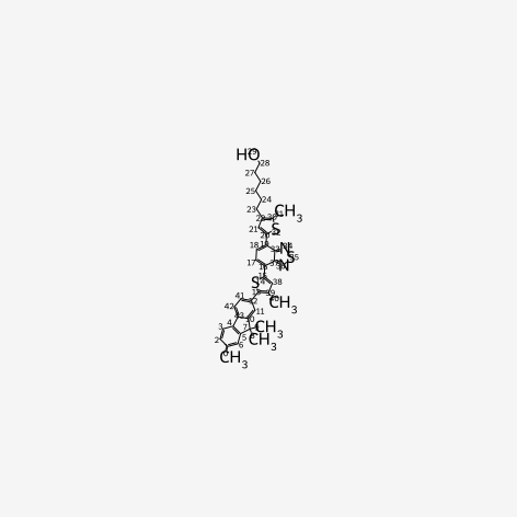 Cc1ccc2c(c1)C(C)(C)c1cc(-c3sc(-c4ccc(-c5cc(CCCCCCO)c(C)s5)c5nsnc45)cc3C)ccc1-2